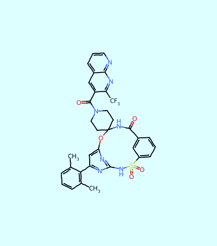 Cc1cccc(C)c1-c1cc2nc(n1)NS(=O)(=O)c1cccc(c1)C(=O)NC1(CCN(C(=O)c3cc4cccnc4nc3C(F)(F)F)CC1)O2